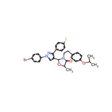 CC(C)Oc1ccc(CCN2C(=O)C(C)OC2c2cn(-c3ccc(Br)cc3)nc2-c2ccc(F)cc2)cc1